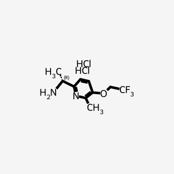 Cc1nc([C@@H](C)N)ccc1OCC(F)(F)F.Cl.Cl